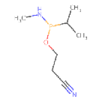 CNP(OCCC#N)C(C)C